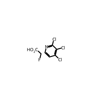 Clc1ccnc(Cl)c1Cl.O=C(O)CF